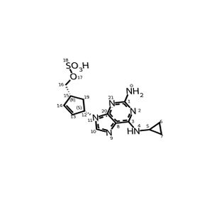 Nc1nc(NC2CC2)c2ncn([C@@H]3C=C[C@H](COS(=O)(=O)O)C3)c2n1